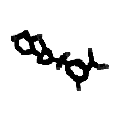 COC(=O)c1cc(Cl)cc(S(=O)(=O)c2ccc3c(c2)OC2CNCCC32)c1